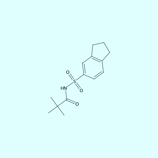 CC(C)(C)C(=O)NS(=O)(=O)c1ccc2c(c1)CCC2